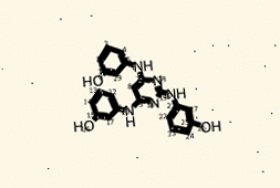 Oc1cccc(Nc2cc(Nc3cccc(O)c3)nc(Nc3cccc(O)c3)n2)c1